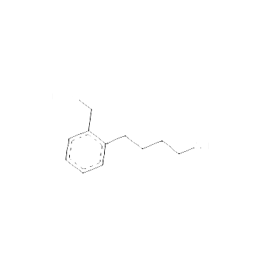 NCCCCc1ccccc1CC(=O)O